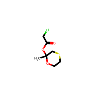 CC1(OC(=O)CCl)CSCCO1